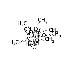 CCCCOC[C@H]1O[C@H](C(OC(=S)SC)[C@@H]2[C@H](OCCCC)[C@@H]3OC[C@H](O3)[C@H]2OCCCC)[C@@H](OCCCC)[C@@H](OCCCC)[C@@H]1OCCCC